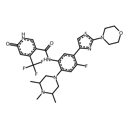 CC1CN(c2cc(F)c(-c3csc(N4CCOCC4)n3)cc2NC(=O)c2c[nH]c(=O)cc2C(F)(F)F)CC(C)N1C